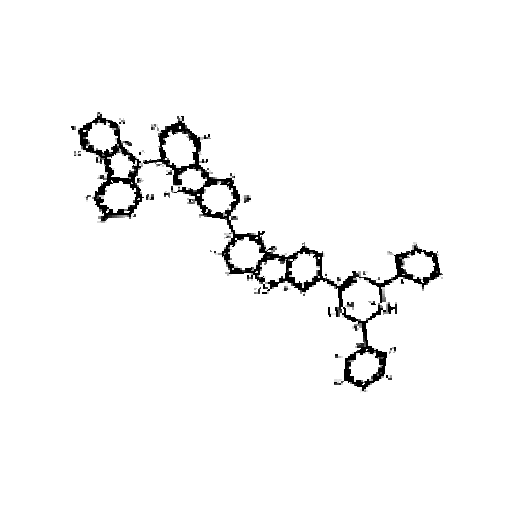 c1ccc(C2N=C(c3ccc4c(c3)sc3ccc(-c5ccc6c(c5)oc5c(-n7c8ccccc8c8ccccc87)cccc56)cc34)NC(c3ccccc3)N2)cc1